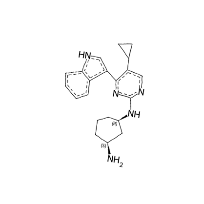 N[C@H]1CCC[C@@H](Nc2ncc(C3CC3)c(-c3c[nH]c4ccccc34)n2)C1